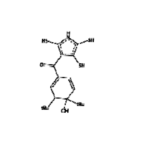 CC(C)(C)C1C=C(C(=O)c2c(S)[nH]c(S)c2S)C=CC1(O)C(C)(C)C